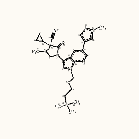 C[C@@H]1CN(c2nn(COCC[Si](C)(C)C)c3ncc(-c4cnn(C)c4)cc23)C(=O)[C@]1(C#N)C1CC1